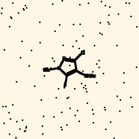 CC(=O)Nc1c(Cl)nn(C(C)(C)C)c1F